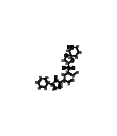 Cc1ccc(-c2nnc(-c3ccccc3)[nH]2)cc1S(=O)(=O)C1COC2(CCCNC2)O1